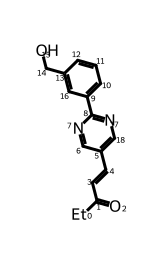 CCC(=O)/C=C/c1cnc(-c2cccc(CO)c2)nc1